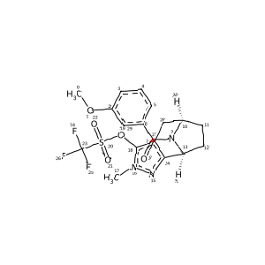 COc1cccc(C(=O)N2[C@@H]3CC[C@H]2c2nn(C)c(OS(=O)(=O)C(F)(F)F)c2C3)c1